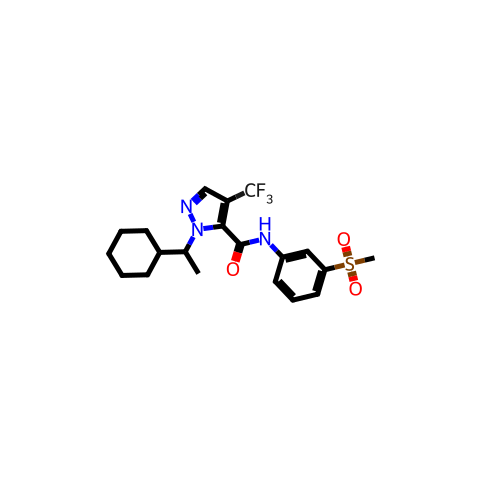 CC(C1CCCCC1)n1ncc(C(F)(F)F)c1C(=O)Nc1cccc(S(C)(=O)=O)c1